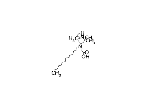 CCCCCCCCCCCCCCN(CCC(=O)O)C1CC(C)(C)NC(C)(C)C1